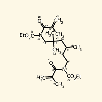 C=C(C)C(=O)N(CCC(C)CC(C)(C)CN(C(=O)OCC)C(=O)C(=C)C)C(=O)OCC